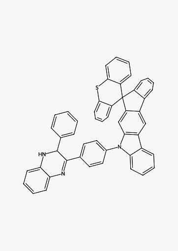 c1ccc(C2Nc3ccccc3N=C2c2ccc(-n3c4ccccc4c4cc5c(cc43)C3(c4ccccc4Sc4ccccc43)c3ccccc3-5)cc2)cc1